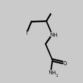 CC(CI)NCC(N)=O